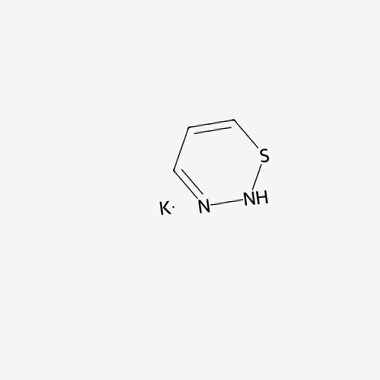 C1=CSNN=C1.[K]